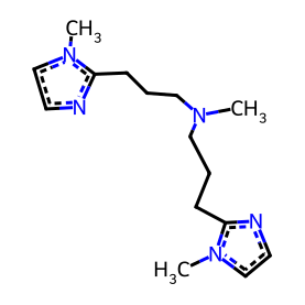 CN(CCCc1nccn1C)CCCc1nccn1C